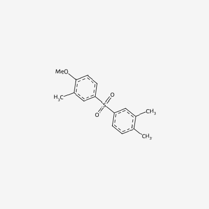 COc1ccc(S(=O)(=O)c2ccc(C)c(C)c2)cc1C